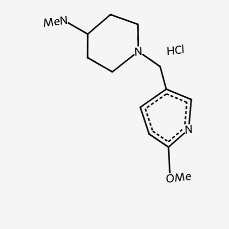 CNC1CCN(Cc2ccc(OC)nc2)CC1.Cl